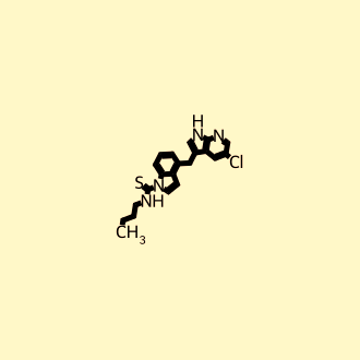 CCCCNC(=S)n1ccc2c(Cc3c[nH]c4ncc(Cl)cc34)cccc21